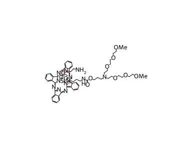 COCCOCCOCCN(CCCOC(=O)NCCC[Si](C)(C)O[Si]1(O[Si](C)(C)CCCN)n2c3c4ccccc4c2/N=C2N=C(/N=c4/c5ccccc5/c(n41)=N/C1=NC(=N\3)/c3ccccc31)c1ccccc1\2)CCOCCOCCOC